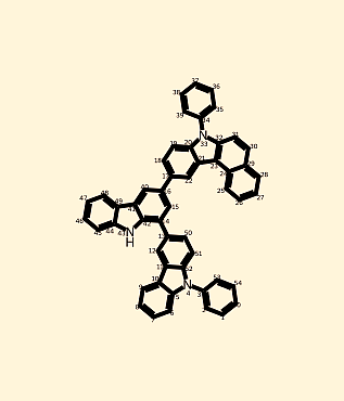 c1ccc(-n2c3ccccc3c3cc(-c4cc(-c5ccc6c(c5)c5c7ccccc7ccc5n6-c5ccccc5)cc5c4[nH]c4ccccc45)ccc32)cc1